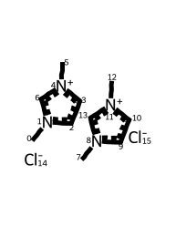 Cn1cc[n+](C)c1.Cn1cc[n+](C)c1.[Cl-].[Cl-]